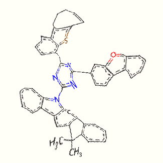 CC1(C)c2ccccc2-c2cc3c(cc21)c1ccccc1n3-c1nc(-c2ccc3c(c2)oc2ccccc23)nc(-c2cccc3c4c(sc23)C=CCC4)n1